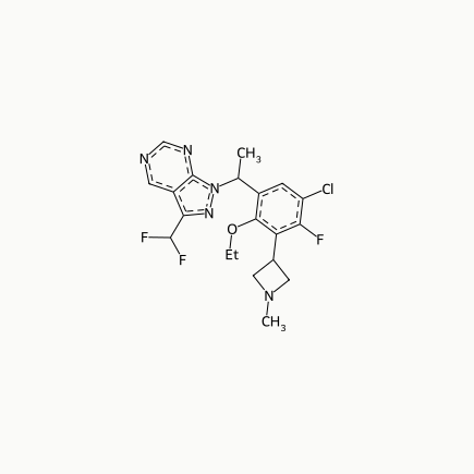 CCOc1c(C(C)n2nc(C(F)F)c3cncnc32)cc(Cl)c(F)c1C1CN(C)C1